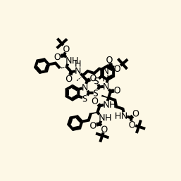 CC(C)(C)OC(=O)NCCC[C@](C)(NC(=O)[C@H](CCc1ccccc1)NC(=O)OC(C)(C)C)C(=O)N1c2ccccc2SC1SC1Sc2ccccc2N1C(=O)[C@](C)(CCCNC(=O)OC(C)(C)C)NC(=O)[C@H](CCc1ccccc1)NC(=O)OC(C)(C)C